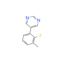 Cc1cccc(-c2cncnc2)c1F